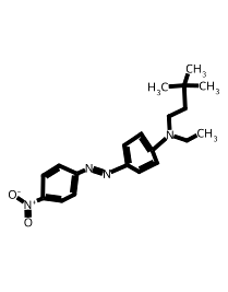 CCN(CCC(C)(C)C)c1ccc(/N=N/c2ccc([N+](=O)[O-])cc2)cc1